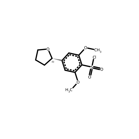 COc1cc([C@@H]2CCCO2)cc(OC)c1S(=O)(=O)Cl